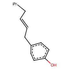 CC(C)CC=CCc1ccc(O)cc1